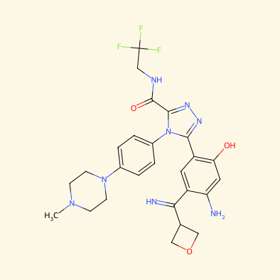 CN1CCN(c2ccc(-n3c(C(=O)NCC(F)(F)F)nnc3-c3cc(C(=N)C4COC4)c(N)cc3O)cc2)CC1